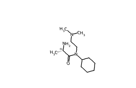 C[C@H](N)C(=O)N(CCN(C)C)C1CCCCC1